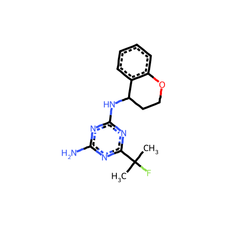 CC(C)(F)c1nc(N)nc(NC2CCOc3ccccc32)n1